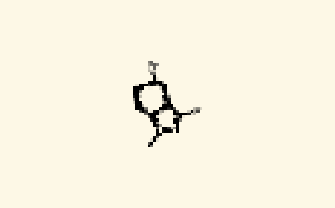 Cn1nc(F)c2cc(Br)ccc21